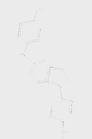 Cc1ccc(Nc2ccc3c(ccn3-c3ccc(N)cn3)c2)cc1